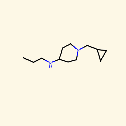 CCCNC1CCN(CC2CC2)CC1